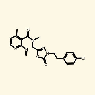 C=Nc1nccc(C)c1C(=O)N(C)Cc1nn(CCc2ccc(Cl)cc2)c(=O)o1